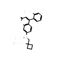 Cc1ccccc1-c1cc(=O)oc2cc(N(C)CC3(C(=O)O)CCC3)ccc12